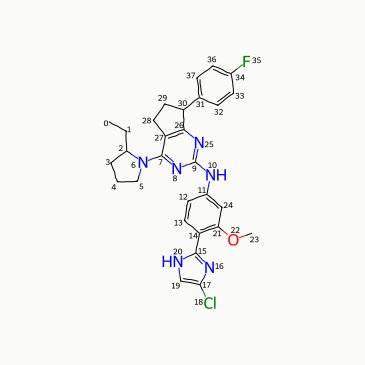 CCC1CCCN1c1nc(Nc2ccc(-c3nc(Cl)c[nH]3)c(OC)c2)nc2c1CCC2c1ccc(F)cc1